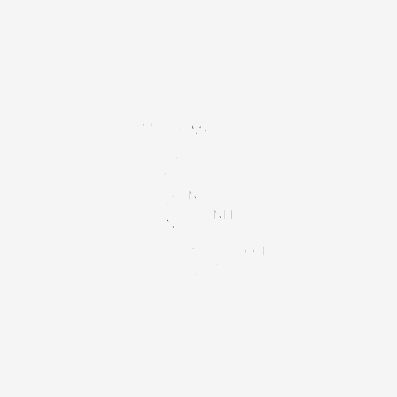 COc1cc(-c2cncc(NC(CO)c3ccccc3)n2)ccc1O